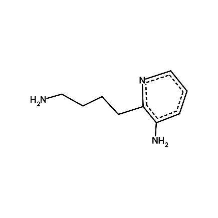 NCCCCc1ncccc1N